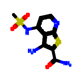 CS(=O)(=O)Nc1ccnc2sc(C(N)=O)c(N)c12